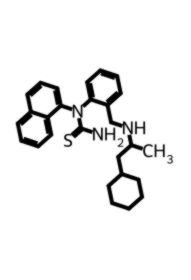 CC(CC1CCCCC1)NCc1ccccc1N(C(N)=S)c1cccc2ccccc12